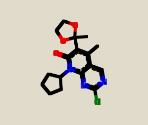 Cc1c(C2(C)OCCO2)c(=O)n(C2CCCC2)c2nc(Cl)ncc12